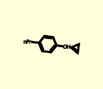 C1=CC1.CCCc1ccc(O)cc1